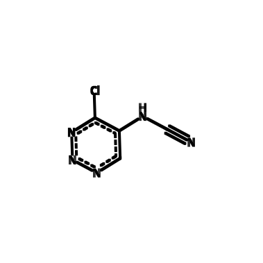 N#CNc1cnnnc1Cl